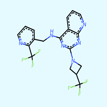 FC(F)(F)c1ncccc1CNc1nc(N2CC(C(F)(F)F)C2)nc2ncccc12